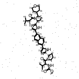 COC(=O)N[C@H](C(=O)N1CCC[C@H]1c1ncc(-c2ccc3cc(-c4cnc([C@@H]5CSC(C6CCOCC6)N5C(=O)[C@@H](C)C(C)C)[nH]4)ccc3c2)[nH]1)C(C)C